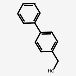 OCc1ccc(-c2c[c]ccc2)cc1